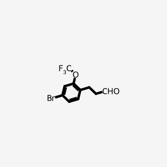 O=CCCc1ccc(Br)cc1OC(F)(F)F